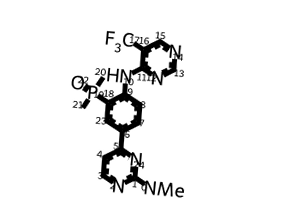 CNc1nccc(-c2ccc(Nc3ncncc3C(F)(F)F)c(P(C)(C)=O)c2)n1